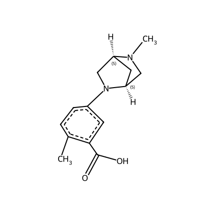 Cc1ccc(N2C[C@@H]3C[C@H]2CN3C)cc1C(=O)O